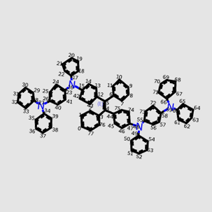 c1ccc(/C(=C(/c2ccccc2)c2ccc(N(c3ccccc3)c3ccc(N(c4ccccc4)c4ccccc4)cc3)cc2)c2ccc(N(c3ccccc3)c3ccc(N(c4ccccc4)c4ccccc4)cc3)cc2)cc1